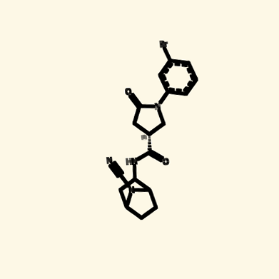 N#CN1C2CCC1C(NC(=O)[C@@H]1CC(=O)N(c3cccc(Br)c3)C1)C2